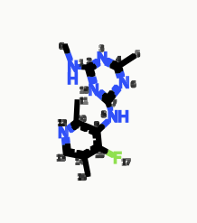 CNc1nc(C)nc(Nc2c(C)ncc(C)c2F)n1